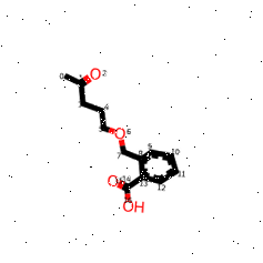 CC(=O)CCCOCc1ccccc1C(=O)O